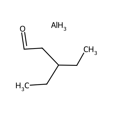 CCC(CC)CC=O.[AlH3]